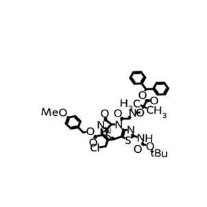 COc1ccc(COC(=O)C2=C(CCl)C3S[C@H]4C(C(=O)N24)N(C(=O)C=NOC(C)(C)C(=O)OC(c2ccccc2)c2ccccc2)c2nc(NC(=O)OC(C)(C)C)sc23)cc1